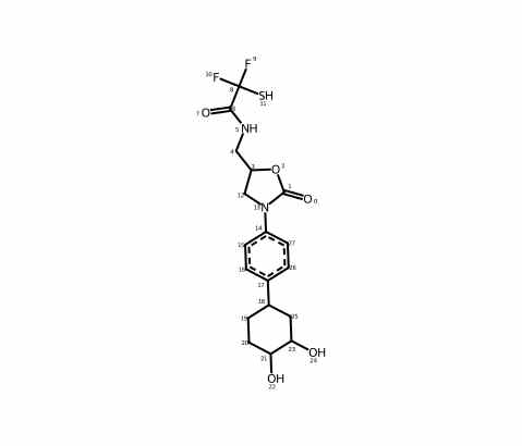 O=C1OC(CNC(=O)C(F)(F)S)CN1c1ccc(C2CCC(O)C(O)C2)cc1